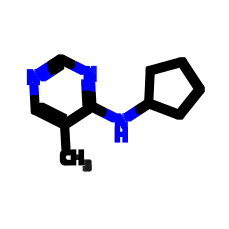 Cc1cncnc1NC1CCCC1